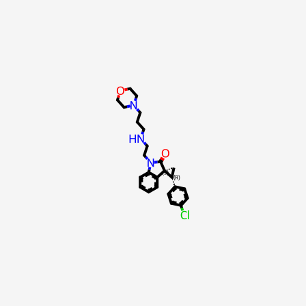 O=C1N(CCNCCCN2CCOCC2)c2ccccc2[C@@]12C[C@@H]2c1ccc(Cl)cc1